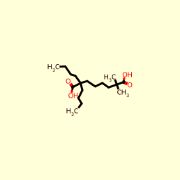 CCCCC(CCCC)(CCCCC(C)(C)C(=O)O)C(=O)O